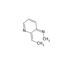 C/C=C1/N=CC=C/C1=N/C